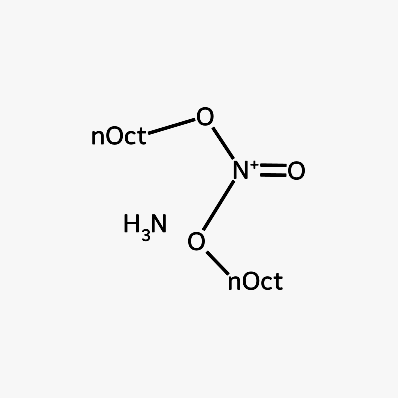 CCCCCCCCO[N+](=O)OCCCCCCCC.N